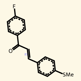 CSc1ccc(/C=C/C(=O)c2ccc(F)cc2)cc1